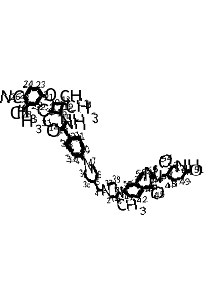 C[C@H]1CN(CC2CCN(c3ccc(C(=O)N[C@H]4C(C)(C)[C@H](Oc5ccc(C#N)c(Cl)c5)C4(C)C)cc3)CC2)CCN1c1ccc2c(=O)n(C3CCC(=O)NC3=O)ncc2c1